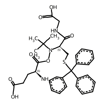 CC(C)(C)N(OC(=O)[C@@H](N)CCC(=O)O)[C@H](CSC(c1ccccc1)(c1ccccc1)c1ccccc1)C(=O)NCC(=O)O